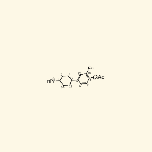 CCCC1CCC(c2ccc(OC(C)=O)c(F)c2)CC1